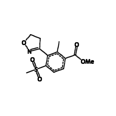 COC(=O)c1ccc(S(C)(=O)=O)c(C2=NOCC2)c1C